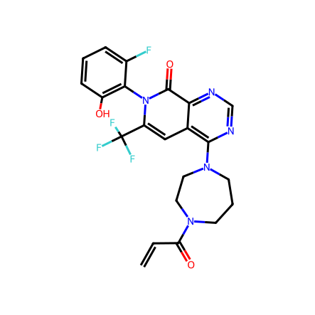 C=CC(=O)N1CCCN(c2ncnc3c(=O)n(-c4c(O)cccc4F)c(C(F)(F)F)cc23)CC1